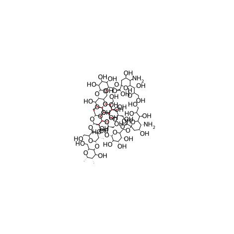 CC1C(O)[C@H](O[C@@H]2OC(CO[C@]3(C(=O)O)C[C@@H](O)[C@@H](N)C([C@H](O)C(O)CO)O3)[C@H](O)[C@H](O)C2O)[C@H](CO)O[C@H]1O[C@@H]1C(O)[C@H](O)C(CO)O[C@@H]1OCC1O[C@@H](O[C@@H]2C(CO)O[C@@H](O[C@@H]3C(CO)O[C@@H](C)[C@@H](C)C3O)[C@@H](C)C2O)C(O)C(O[C@H]2O[C@H](CO)[C@@H](O)C(O)C2O[C@@H]2OC(CO)[C@@H](O[C@@H]3OC(CO[C@]4(C(=O)O)C[C@@H](O)[C@@H](N)C([C@H](O)[C@H](O)CO)O4)[C@H](O)C(O)[C@@H]3O)C(O)[C@@H]2C)[C@@H]1O